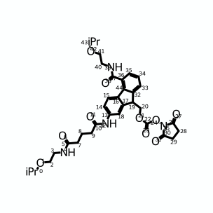 CC(C)OCCNC(=O)CCCC(=O)Nc1ccc2c(c1)C(COC(=O)ON1C(=O)CCC1=O)c1cccc(C(=O)NCCOC(C)C)c1-2